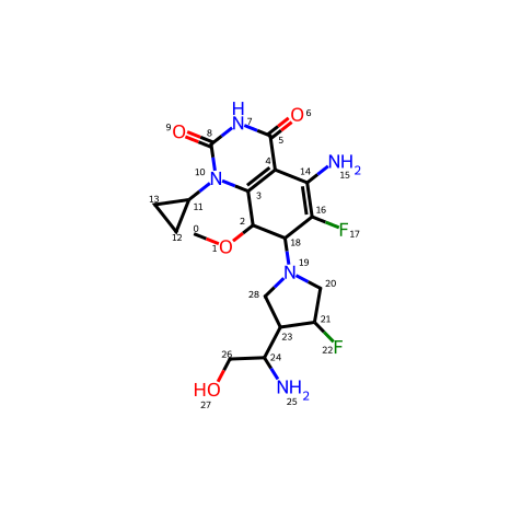 COC1c2c(c(=O)[nH]c(=O)n2C2CC2)C(N)=C(F)C1N1CC(F)C(C(N)CO)C1